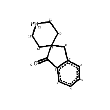 O=C1c2ccccc2CC12CCNCC2